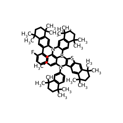 Cc1cc2c3c(c1)N(c1ccc4c(c1)C(C)(C)CCC4(C)C)c1c(sc4cc5c(cc14)C(C)(C)CCC5(C)C)B3c1cc3c(cc1N2c1cc2c(cc1-c1ccccc1F)C(C)(C)CCC2(C)C)C(C)(C)CCC3(C)C